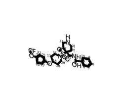 O=C(NC(O)c1ccccc1)C1(S(=O)(=O)N2CCC(Oc3ccc(OC(F)(F)F)cc3)CC2)CCNCC1